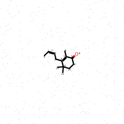 C/C=C\CC1=C(C)C(=O)CCC1(C)C